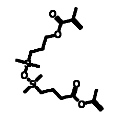 C=C(C)OC(=O)CCC[Si](C)(C)O[Si](C)(C)CCCOC(=O)C(=C)C